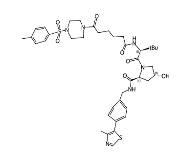 Cc1ccc(S(=O)(=O)N2CCN(C(=O)CCCCC(=O)N[C@H](C(=O)N3C[C@H](O)C[C@H]3C(=O)NCc3ccc(-c4scnc4C)cc3)C(C)(C)C)CC2)cc1